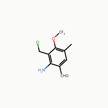 Cc1cc(C=O)c(N)c(CCl)c1OC(F)(F)F